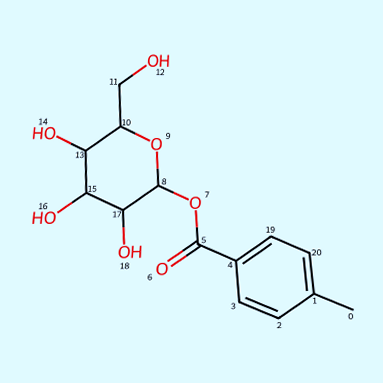 Cc1ccc(C(=O)OC2OC(CO)C(O)C(O)C2O)cc1